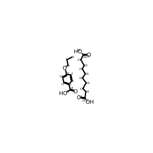 CCCOc1ccc(C(=O)O)cc1.O=C(O)CCCCCCCCC(=O)O